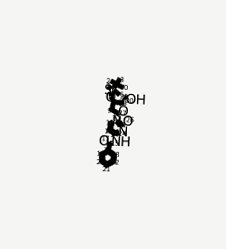 CC(C)(C)[Si](C)(C)OC1C[C@H](n2ccc(NC(=O)c3ccccc3)nc2=O)O[C@@H]1CO